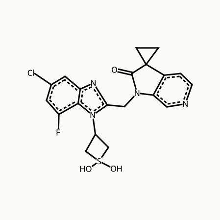 O=C1N(Cc2nc3cc(Cl)cc(F)c3n2C2CS(O)(O)C2)c2cnccc2C12CC2